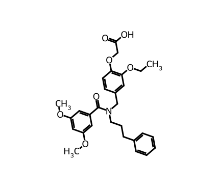 CCOc1cc(CN(CCCc2ccccc2)C(=O)c2cc(OC)cc(OC)c2)ccc1OCC(=O)O